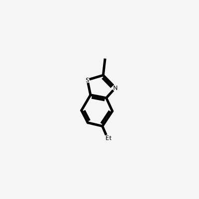 CCc1ccc2sc(C)nc2c1